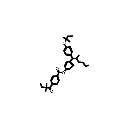 CCCCC(C)C(c1ccc(OC(=O)c2ccc(C(=O)C(C)(C)CC)cc2)cc1)c1ccc(OC(C)(C)CC)cc1